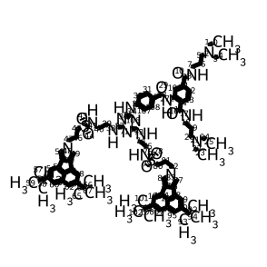 CCN(CC)CCCNC(=O)c1ccc(C(=O)NCCCN(CC)CC)c(NC(=O)c2ccc(Nc3nc(NCCNS(=O)(=O)CCCn4cc5c(c4)-c4cc(C(C)(C)C)cc6cc(C(C)(C)C)cc-5c46)nc(NCCNS(=O)(=O)CCCn4cc5c(c4)-c4cc(C(C)(C)C)cc6cc(C(C)(C)C)cc-5c46)n3)cc2)c1